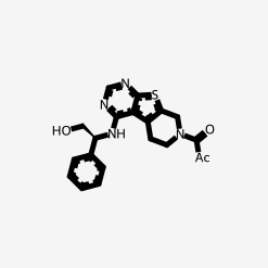 CC(=O)C(=O)N1CCc2c(sc3ncnc(N[C@H](CO)c4ccccc4)c23)C1